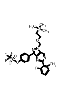 Cc1cccc(F)c1-c1ncc2c(n1)c(-c1ccc(OS(=O)(=O)C(F)(F)F)cc1)nn2COCC[Si](C)(C)C